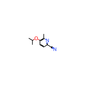 Cc1nc(C#N)ccc1OC(C)C